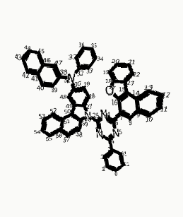 c1ccc(-c2nc(-c3cc4ccccc4c4c3oc3ccccc34)nc(-n3c4ccc(N(c5ccccc5)c5ccc6ccccc6c5)cc4c4c5ccccc5ccc43)n2)cc1